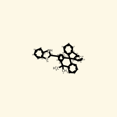 CC1(C)c2ccccc2C2(c3ccccc3-c3ccccc32)c2ccc(C3Nc4ccccc4O3)cc21